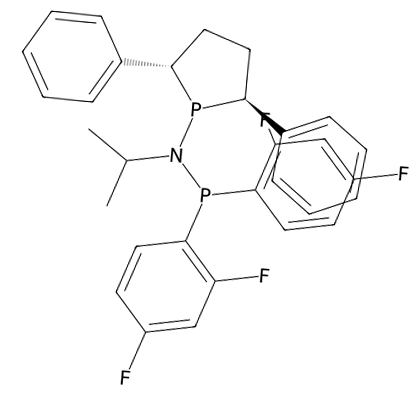 CC(C)N(P(c1ccc(F)cc1F)c1ccc(F)cc1F)P1[C@H](c2ccccc2)CC[C@H]1c1ccccc1